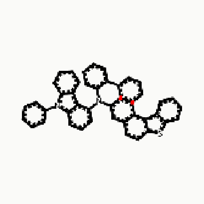 c1ccc(-c2ccccc2N(c2ccc3c(ccc4sc5ccccc5c43)c2)c2cccc3c2c2ccccc2n3-c2ccccc2)cc1